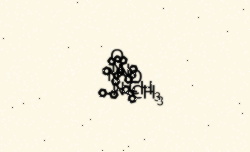 CC1(C)c2ccccc2-c2cc(N(c3cccc(-c4ccccc4)c3)c3ccc4c(c3)c3c(-c5cccc6oc7ccccc7c56)nc(-c5cccc6oc7ccccc7c56)nc3n4-c3ccccc3)ccc21